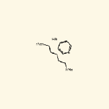 Br.CCCCCCCCCCCCCCNC.c1ccncc1